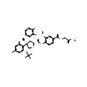 COC(=O)COC(=O)c1ccc(NC(=O)[C@@H]2N[C@@H](CC(C)(C)C)[C@](C#N)(c3ccc(Cl)cc3F)[C@H]2c2cccc(Cl)c2F)c(OC)c1